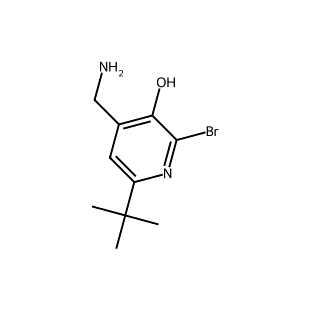 CC(C)(C)c1cc(CN)c(O)c(Br)n1